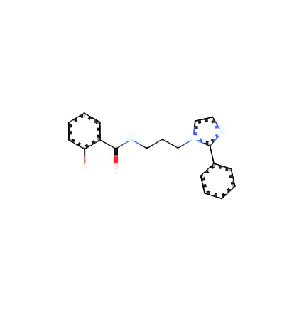 O=C(NCCCn1ccnc1-c1ccccc1)c1ccccc1Br